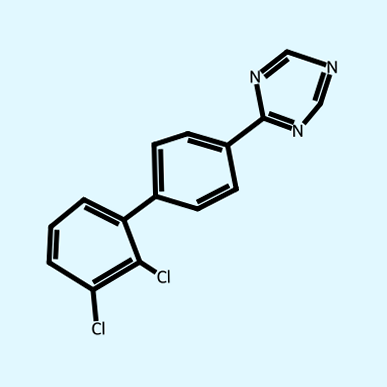 Clc1cccc(-c2ccc(-c3ncncn3)cc2)c1Cl